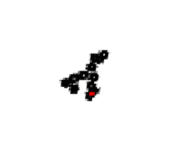 CC1(C)c2ccccc2-c2ccc(-c3cccc(N(c4ccc(-c5ccc6c7ccccc7n(-c7ccccc7)c6c5)cc4)c4ccc(-c5cccc6c5ccc5ccccc56)cc4)c3)cc21